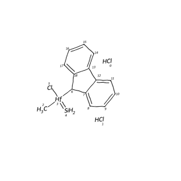 Cl.Cl.[CH3][Hf](=[SiH2])([Cl])[CH]1c2ccccc2-c2ccccc21